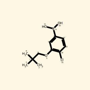 CC(C)(C)COc1cc(B(O)O)ccc1Cl